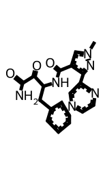 Cn1cc(C(=O)NC(Cc2ccccc2)C(=O)C(N)=O)c(-c2cnccn2)n1